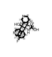 CC(C)(C)[C@@](NC(=O)O)(c1ccc(F)cc1)C(O)(c1cccnc1)c1cccnc1